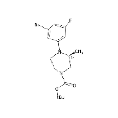 C[C@H]1CN(C(=O)OC(C)(C)C)CCN1c1cc(F)cc(Br)c1